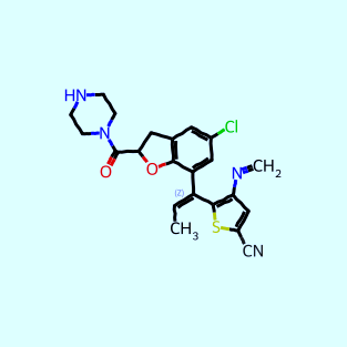 C=Nc1cc(C#N)sc1/C(=C\C)c1cc(Cl)cc2c1OC(C(=O)N1CCNCC1)C2